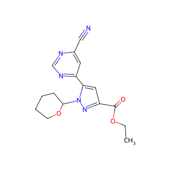 CCOC(=O)c1cc(-c2cc(C#N)ncn2)n(C2CCCCO2)n1